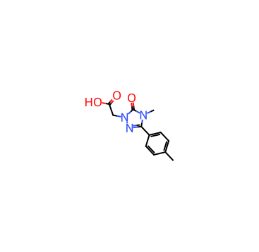 Cc1ccc(-c2nn(CC(=O)O)c(=O)n2C)cc1